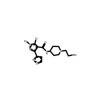 CCn1nc(-c2ccon2)c(C(=O)NC2CCN(CCC(C)(C)C)CC2)c1Cl